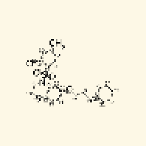 Cc1ccc(S(=O)(=O)N2CCSc3ccc(OCCCN4CCCCC4)cc32)c(Cl)c1